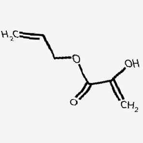 C=CCOC(=O)C(=C)O